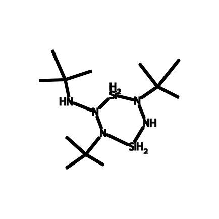 CC(C)(C)NN1[SiH2]N(C(C)(C)C)N[SiH2]N1C(C)(C)C